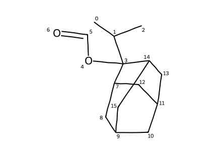 CC(C)C1(OC=O)C2CC3CC(C2)CC1C3